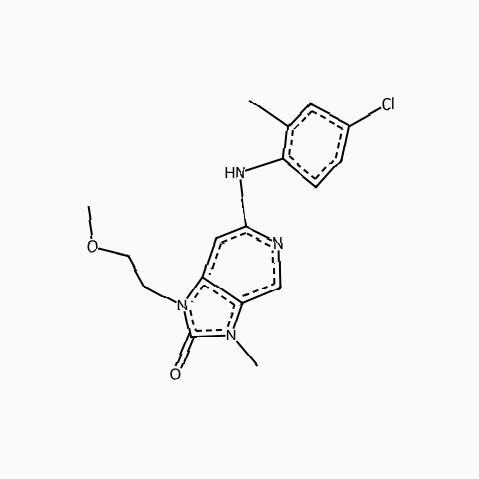 COCCn1c(=O)n(C)c2cnc(Nc3ccc(Cl)cc3C)cc21